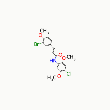 COc1cc(NC(=O)C=Cc2ccc(OC)c(Br)c2)c(OC)cc1Cl